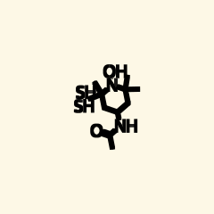 CC(=O)NC1CC(C)(C)N(O)C(C)(C)C1.SS